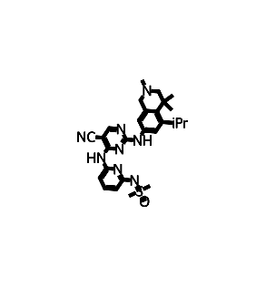 CC(C)c1cc(Nc2ncc(C#N)c(Nc3cccc(N=S(C)(C)=O)n3)n2)cc2c1C(C)(C)CN(C)C2